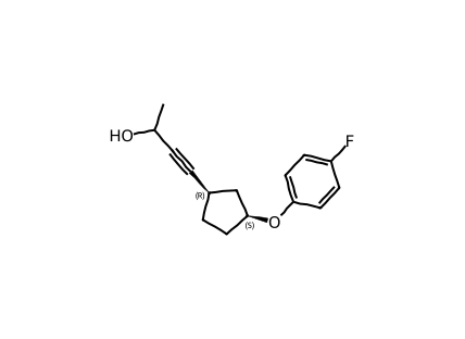 CC(O)C#C[C@@H]1CC[C@H](Oc2ccc(F)cc2)C1